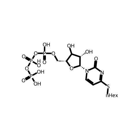 CCCCCCSc1ccn([C@@H]2O[C@H](COP(=O)(O)OP(=O)(O)OP(=O)(O)O)C(O)[C@@H]2O)c(=O)n1